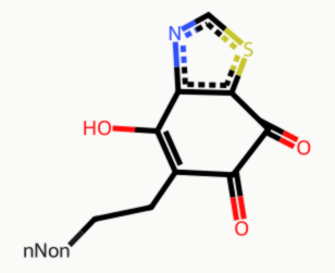 CCCCCCCCCCCC1=C(O)c2ncsc2C(=O)C1=O